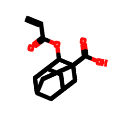 C=CC(=O)OC1C2CC3CC(C2)CC1(C(=O)O)C3